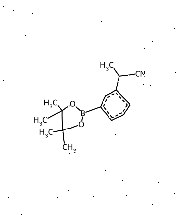 CC(C#N)c1cccc(B2OC(C)(C)C(C)(C)O2)c1